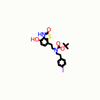 CC(C)(C)OC(=O)N(CCc1ccc(I)cc1)CCc1ccc(O)c2[nH]c(=O)sc12